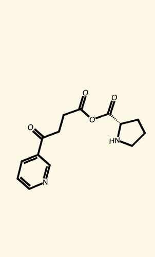 O=C(CCC(=O)c1cccnc1)OC(=O)[C@@H]1CCCN1